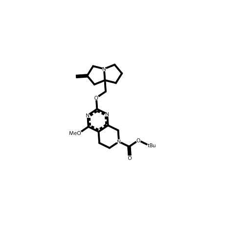 C=C1CN2CCCC2(COc2nc3c(c(OC)n2)CCN(C(=O)OC(C)(C)C)C3)C1